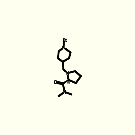 CCN1CCC(CN2CCC[C@H]2C(=O)N(C)C)CC1